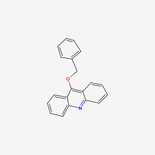 c1ccc(COc2c3ccccc3nc3ccccc23)cc1